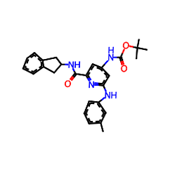 Cc1cccc(Nc2cc(NC(=O)OC(C)(C)C)cc(C(=O)NC3Cc4ccccc4C3)n2)c1